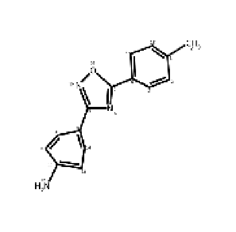 Cc1ccc(-c2nc(-c3ccc(N)cc3)no2)cc1